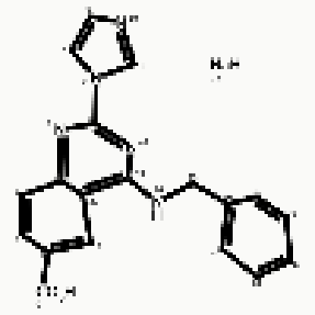 O=C(O)c1ccc2nc(-n3ccnc3)nc(NCc3ccccc3)c2c1.[NaH]